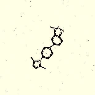 Cc1ccc(C)n1-c1ccc(-c2ccc3nnn(C)c3c2)cc1